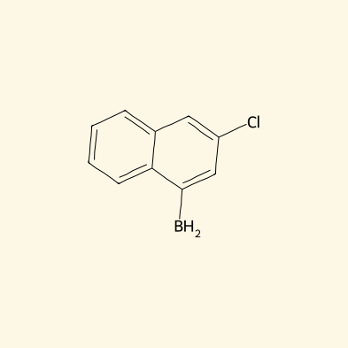 Bc1cc(Cl)cc2ccccc12